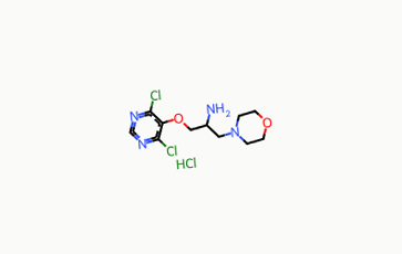 Cl.NC(COc1c(Cl)ncnc1Cl)CN1CCOCC1